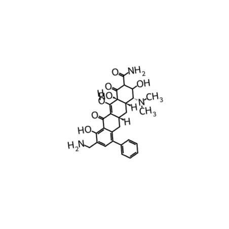 CN(C)[C@H]1C(O)C(C(N)=O)C(=O)[C@@]2(O)C(O)=C3C(=O)c4c(O)c(CN)cc(-c5ccccc5)c4C[C@H]3C[C@@H]12